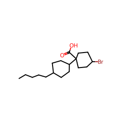 CCCCCC1CCC(C2(C(=O)O)CCC(Br)CC2)CC1